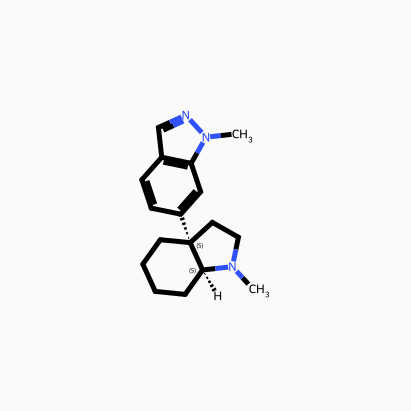 CN1CC[C@]2(c3ccc4cnn(C)c4c3)CCCC[C@H]12